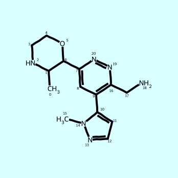 CC1NCCOC1c1cc(-c2ccnn2C)c(CN)nn1